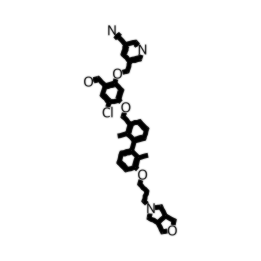 Cc1c(COc2cc(OCc3cncc(C#N)c3)c(C=O)cc2Cl)cccc1-c1cccc(OCCCN2CC3COCC3C2)c1C